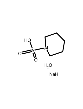 O.O=[S](=O)(O)[Al]1[CH2]CCC[CH2]1.[NaH]